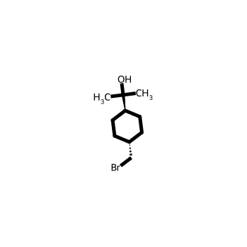 CC(C)(O)[C@H]1CC[C@H](CBr)CC1